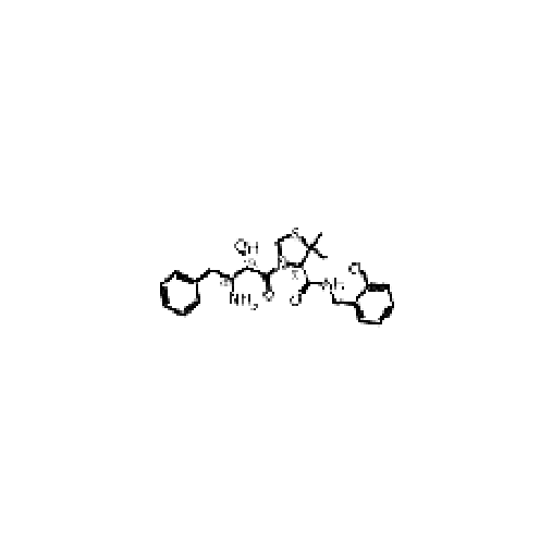 CC1(C)SCN(C(=O)[C@@H](O)[C@@H](N)Cc2ccccc2)[C@@H]1C(=O)NCc1ccccc1Cl